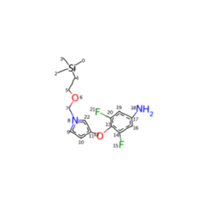 C[Si](C)(C)CCOCn1ccc(Oc2c(F)cc(N)cc2F)c1